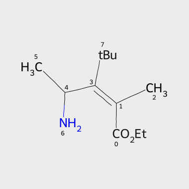 CCOC(=O)C(C)=C(C(C)N)C(C)(C)C